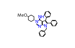 CO[C@H]1CC[C@H](n2cnc3c(c(-c4ccccc4)c(-c4ccccc4)n3Cc3ccccc3)c2=N)CC1